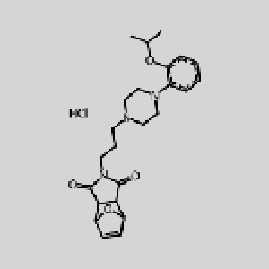 CC(C)Oc1ccccc1N1CCN(CCCN2C(=O)C3C4C=CC(O4)C3C2=O)CC1.Cl